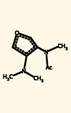 CC(=O)N(C)c1cocc1N(C)C